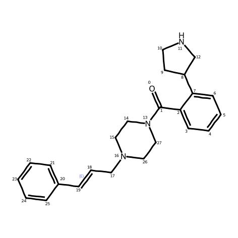 O=C(c1ccccc1C1CCNC1)N1CCN(C/C=C/c2ccccc2)CC1